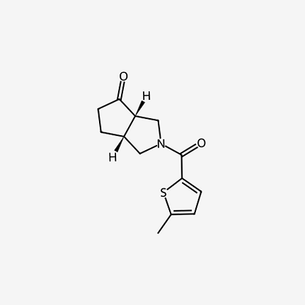 Cc1ccc(C(=O)N2C[C@@H]3CCC(=O)[C@@H]3C2)s1